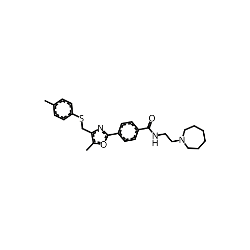 Cc1ccc(SCc2nc(-c3ccc(C(=O)NCCN4CCCCCC4)cc3)oc2C)cc1